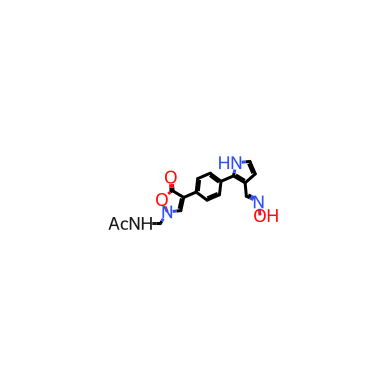 CC(=O)NCn1cc(-c2ccc(-c3[nH]ccc3C=NO)cc2)c(=O)o1